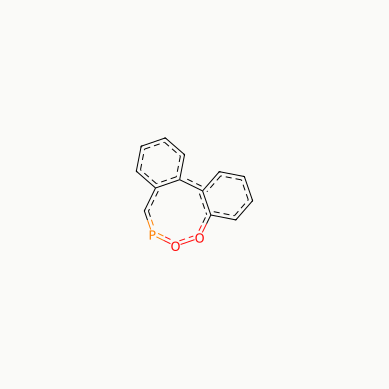 c1ccc2c(c1)cpooc1ccccc12